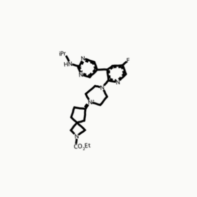 CCOC(=O)N1CC2(CCC(=[N+]3CCN(c4ncc(F)cc4-c4cnc(NC(C)C)nc4)CC3)C2)C1